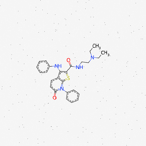 CCN(CC)CCNC(=O)c1sc2c(ccc(=O)n2-c2ccccc2)c1Nc1ccccc1